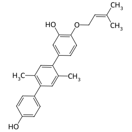 CC(C)=CCOc1ccc(-c2cc(C)c(-c3ccc(O)cc3)cc2C)cc1O